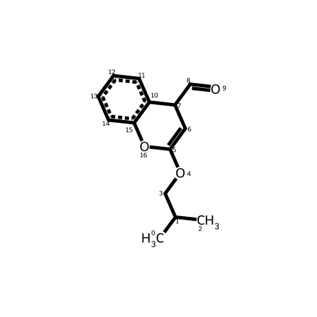 CC(C)COC1=CC(C=O)c2ccccc2O1